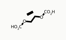 C=C.O=C(O)OCCOC(=O)O